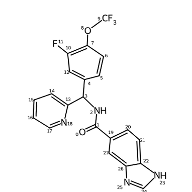 O=C(NC(c1ccc(OC(F)(F)F)c(F)c1)c1ccccn1)c1ccc2[nH]cnc2c1